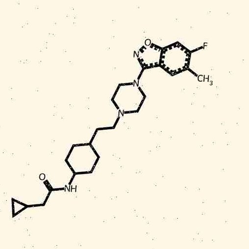 Cc1cc2c(N3CCN(CCC4CCC(NC(=O)CC5CC5)CC4)CC3)noc2cc1F